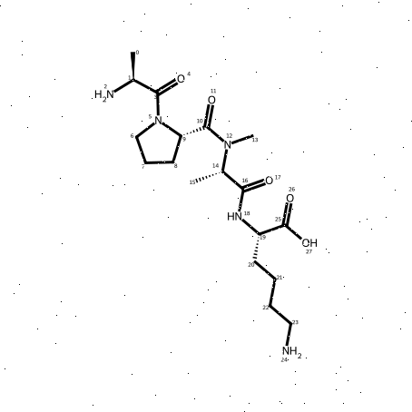 C[C@H](N)C(=O)N1CCC[C@H]1C(=O)N(C)[C@@H](C)C(=O)N[C@@H](CCCCN)C(=O)O